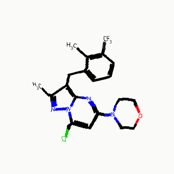 Cc1nn2c(Cl)cc(N3CCOCC3)nc2c1Cc1cccc(C(F)(F)F)c1C